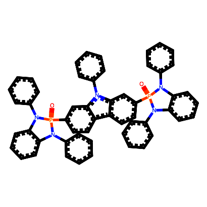 O=P1(c2ccc3c4ccc(P5(=O)N(c6ccccc6)c6ccccc6N5c5ccccc5)cc4n(-c4ccccc4)c3c2)N(c2ccccc2)c2ccccc2N1c1ccccc1